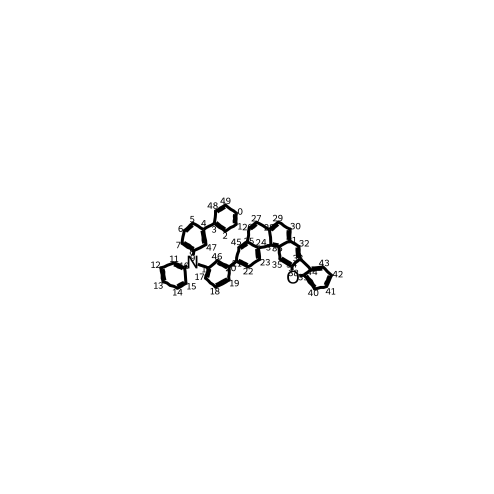 c1ccc(-c2cccc(N(c3ccccc3)c3cccc(-c4ccc5c(ccc6ccc7cc8c(cc7c65)oc5ccccc58)c4)c3)c2)cc1